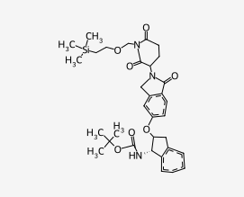 CC(C)(C)OC(=O)N[C@H]1c2ccccc2CC1Oc1ccc2c(c1)CN(C1CCC(=O)N(COCC[Si](C)(C)C)C1=O)C2=O